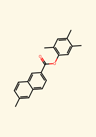 Cc1ccc2cc(C(=O)Oc3cc(C)c(C)cc3C)ccc2c1